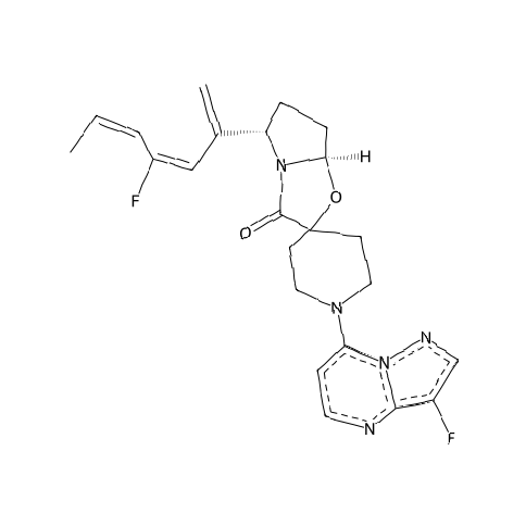 C=C(/C=C(F)\C=C/C)[C@@H]1CC[C@H]2OC3(CCN(c4ccnc5c(F)cnn45)CC3)C(=O)N21